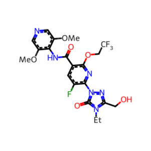 CCn1c(CO)nn(-c2nc(OCC(F)(F)F)c(C(=O)Nc3c(OC)cncc3OC)cc2F)c1=O